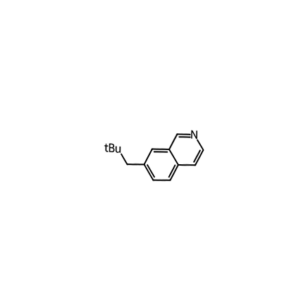 CC(C)(C)Cc1ccc2ccncc2c1